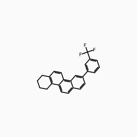 FC(F)(F)c1cccc(-c2ccc3ccc4c5c(ccc4c3c2)CCCC5)c1